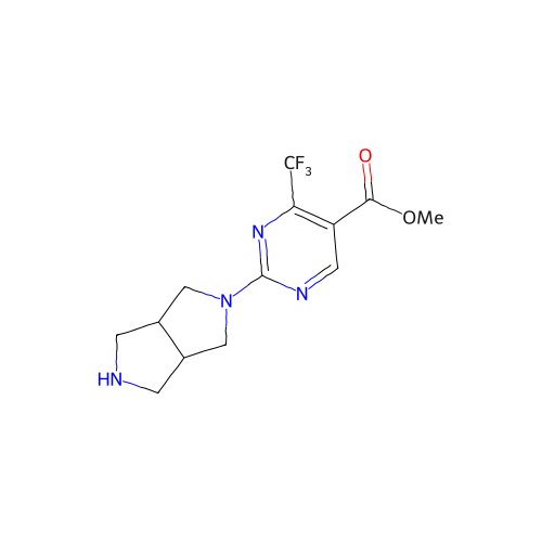 COC(=O)c1cnc(N2CC3CNCC3C2)nc1C(F)(F)F